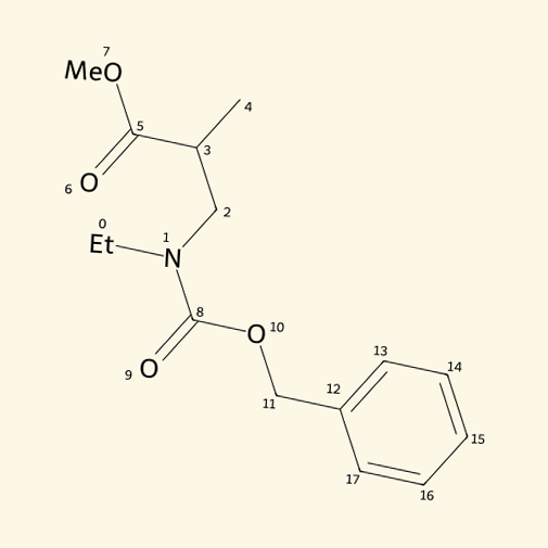 CCN(CC(C)C(=O)OC)C(=O)OCc1ccccc1